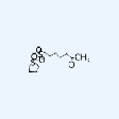 CC(=O)CCCCCS(=O)(=O)O[S+]1CCCC1